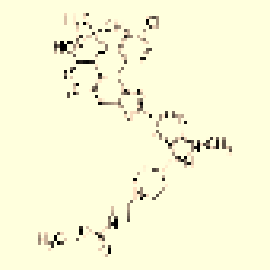 CCOC(=O)N1CC(N2CCC(c3nn(C)c4ncc(-c5nc6cc(C)c(C(OC(C)(C)C)C(=O)O)c(-c7ccc(Cl)cc7)c6s5)cc34)CC2)C1